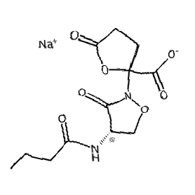 CCCC(=O)N[C@H]1CON(C2(C(=O)[O-])CCC(=O)O2)C1=O.[Na+]